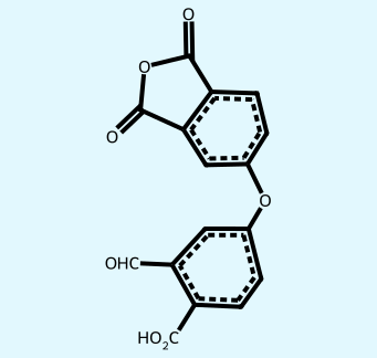 O=Cc1cc(Oc2ccc3c(c2)C(=O)OC3=O)ccc1C(=O)O